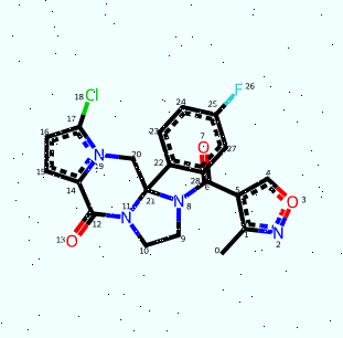 Cc1nocc1C(=O)N1CCN2C(=O)c3ccc(Cl)n3CC12c1ccc(F)cc1